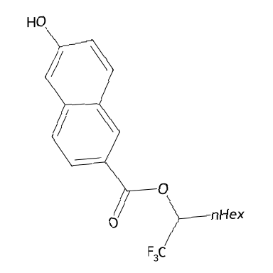 CCCCCCC(OC(=O)c1ccc2cc(O)ccc2c1)C(F)(F)F